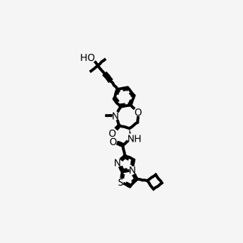 CN1C(=O)[C@@H](NC(=O)c2cn3c(C4CCC4)csc3n2)COc2ccc(C#CC(C)(C)O)cc21